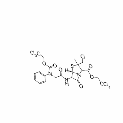 CC1(CCl)S[C@H]2C(NC(=O)CN(C(=O)OCC(Cl)(Cl)Cl)c3ccccc3)C(=O)N2C1C(=O)OCC(Cl)(Cl)Cl